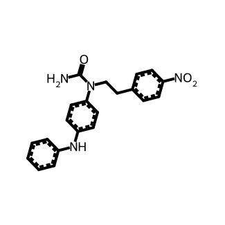 NC(=O)N(CCc1ccc([N+](=O)[O-])cc1)c1ccc(Nc2ccccc2)cc1